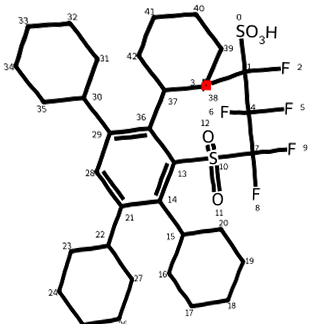 O=S(=O)(O)C(F)(F)C(F)(F)C(F)(F)S(=O)(=O)c1c(C2CCCCC2)c(C2CCCCC2)cc(C2CCCCC2)c1C1CCCCC1